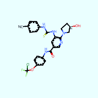 N#Cc1ccc(NC(=S)Nc2cc(C(=O)Nc3ccc(OC(F)(F)Cl)cc3)cnc2N2CC[C@@H](O)C2)cc1